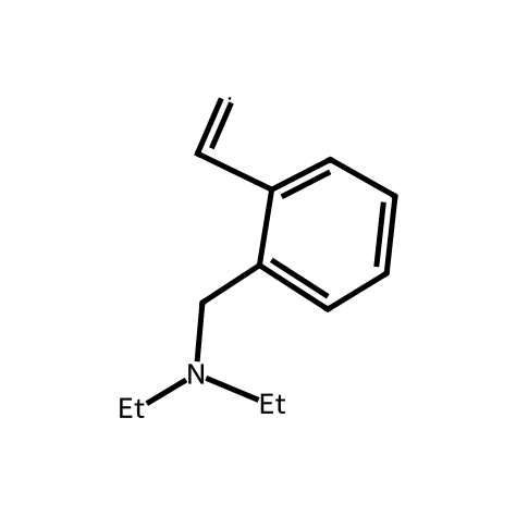 [CH]=Cc1ccccc1CN(CC)CC